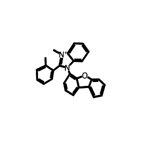 Cc1ccccc1-c1n(-c2cccc3c2oc2ccccc23)c2ccccc2[n+]1C